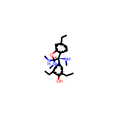 CCc1ccc2c(c1)OC(NC)(NC)[C@@]2(NC)c1cc(CC)c(O)c(CC)c1